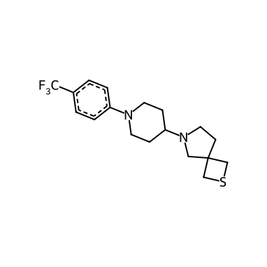 FC(F)(F)c1ccc(N2CCC(N3CCC4(CSC4)C3)CC2)cc1